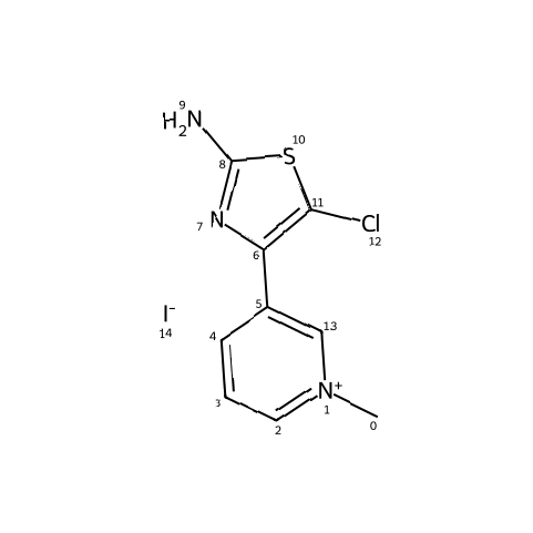 C[n+]1cccc(-c2nc(N)sc2Cl)c1.[I-]